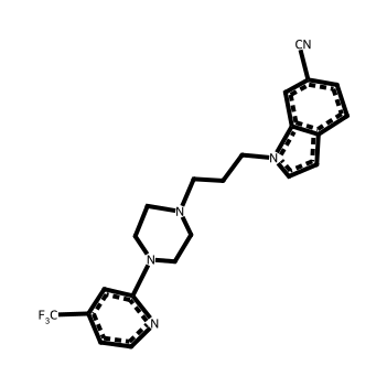 N#Cc1ccc2ccn(CCCN3CCN(c4cc(C(F)(F)F)ccn4)CC3)c2c1